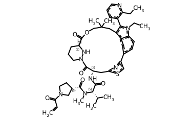 C=CC(=O)N1CC[C@H](C(=O)N(C)[C@H](C(=O)N[C@H]2Cc3nc(cs3)-c3ccc4c(c3)c(c(-c3cccnc3CC)n4CC)CC(C)(C)COC(=O)[C@@H]3CCCN(N3)C2=O)C(C)C)C1